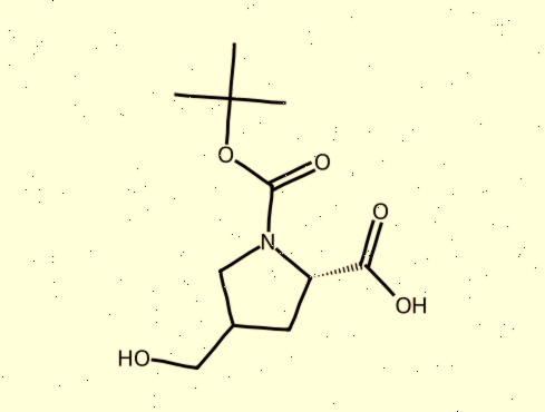 CC(C)(C)OC(=O)N1CC(CO)C[C@H]1C(=O)O